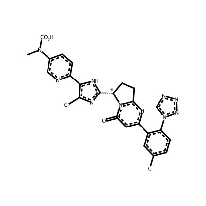 CN(C(=O)O)c1ccc(-c2[nH]c([C@@H]3CCc4nc(-c5cc(Cl)ccc5-n5cnnn5)cc(=O)n43)nc2Cl)nc1